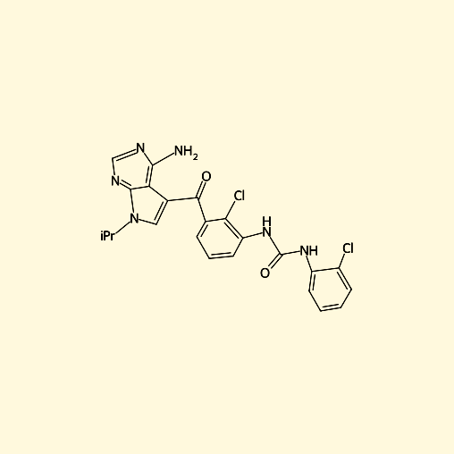 CC(C)n1cc(C(=O)c2cccc(NC(=O)Nc3ccccc3Cl)c2Cl)c2c(N)ncnc21